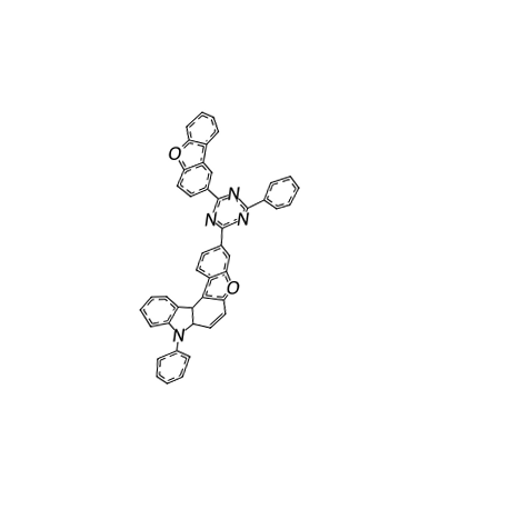 C1=CC2C(c3ccccc3N2c2ccccc2)c2c1oc1cc(-c3nc(-c4ccccc4)nc(-c4ccc5oc6ccccc6c5c4)n3)ccc21